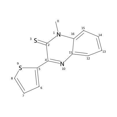 Cn1c(=S)c(-c2cccs2)nc2ccccc21